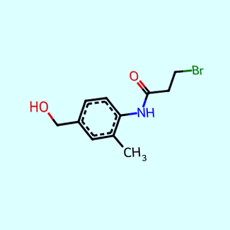 Cc1cc(CO)ccc1NC(=O)CCBr